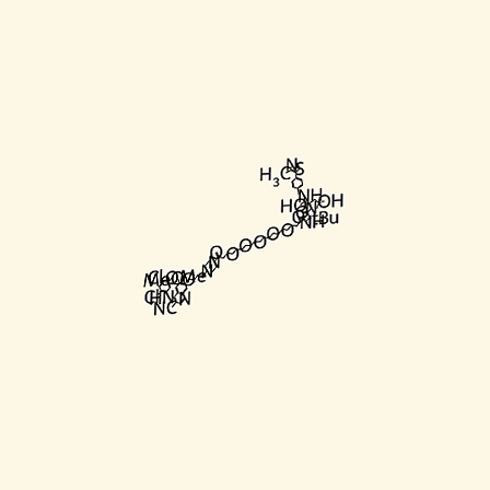 COc1cc(Nc2c(C#N)cnc3cc(OCCCN4CCN(C(=O)CCOCCOCCOCCOCCOCCC(=O)N[C@H](C(=O)N5C[C@H](O)C[C@H]5C(O)NCc5ccc(-c6scnc6C)cc5)C(C)(C)C)CC4)c(OC)cc23)c(Cl)cc1Cl